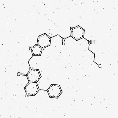 O=c1c2cncc(-c3ccccc3)c2ccn1Cc1cn2cc(CNc3cc(NCCCCl)ccn3)ccc2n1